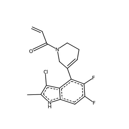 C=CC(=O)N1CCC=C(c2c(F)c(F)cc3[nH]c(C)c(Cl)c23)C1